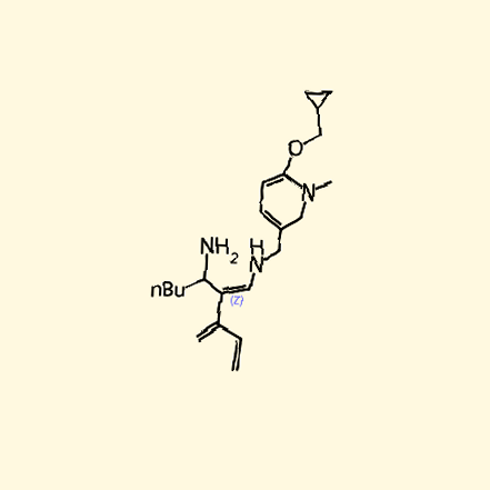 C=CC(=C)/C(=C/NCC1=CC=C(OCC2CC2)N(C)C1)C(N)CCCC